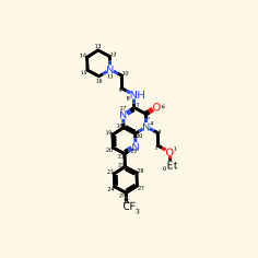 CCOCCn1c(=O)c(NCCN2CCCCC2)nc2ccc(-c3ccc(C(F)(F)F)cc3)nc21